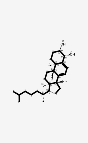 CC(C)CCC[C@@H](C)[C@H]1CC[C@H]2C3=CC=C4[C@@H](O)[C@@H](O)CC[C@]4(C)[C@H]3CC[C@]12C